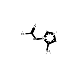 Nc1cncn1NC(=O)O